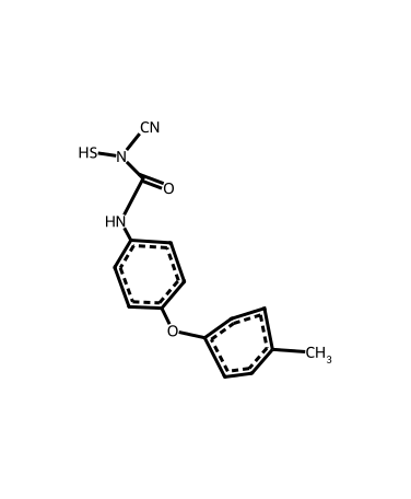 Cc1ccc(Oc2ccc(NC(=O)N(S)C#N)cc2)cc1